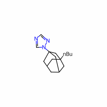 CCCCC12CC3CC(C1)CC(n1cncn1)(C3)C2